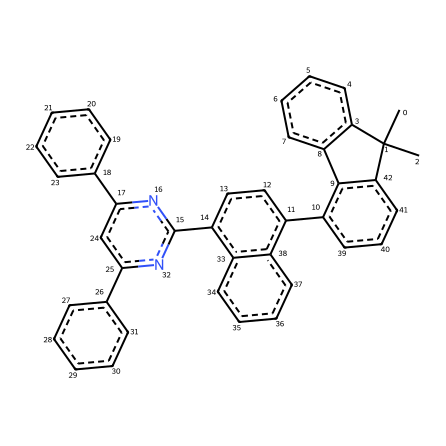 CC1(C)c2ccccc2-c2c(-c3ccc(-c4nc(-c5ccccc5)cc(-c5ccccc5)n4)c4ccccc34)cccc21